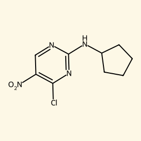 O=[N+]([O-])c1cnc(NC2CCCC2)nc1Cl